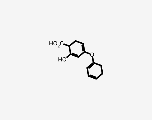 O=C(O)C1CC=C(OC2=CC=CCC2)C=C1O